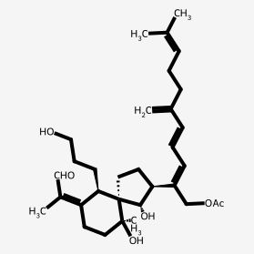 C=C(/C=C/C=C(/COC(C)=O)[C@@H]1CC[C@]2([C@H](CCCO)/C(=C(/C)C=O)CC[C@]2(C)O)[C@H]1O)CCC=C(C)C